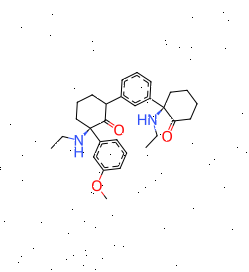 CCN[C@@]1(c2cccc(C3CCC[C@@](NCC)(c4cccc(OC)c4)C3=O)c2)CCCCC1=O